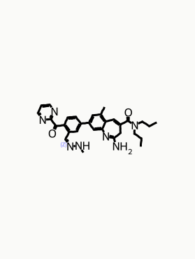 CCCN(CCC)C(=O)C1=Cc2c(C)cc(-c3ccc(C(=O)c4ncccn4)c(/C=N\NC)c3)cc2N=C(N)C1